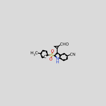 Cc1ccc(S(=O)(=O)c2[nH]c3ccc(C#N)cc3c2C2CC2C=O)cc1